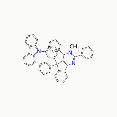 CN1C(c2ccccc2)=NC2=C(C1c1ccccc1)C(c1ccccc1)(c1cccc(-n3c4ccccc4c4ccccc43)c1)c1ccccc12